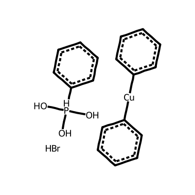 Br.O[PH](O)(O)c1ccccc1.c1cc[c]([Cu][c]2ccccc2)cc1